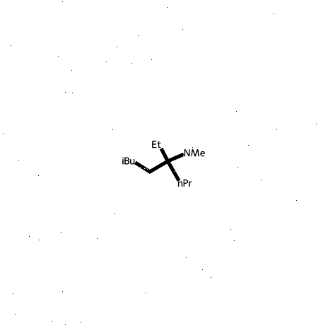 CCCC(CC)(CC(C)CC)NC